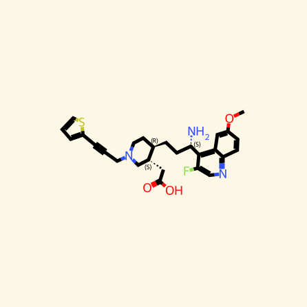 COc1ccc2ncc(F)c([C@@H](N)CC[C@@H]3CCN(CC#Cc4cccs4)C[C@H]3CC(=O)O)c2c1